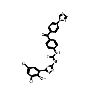 O=C(Nc1ccc(C(=O)c2ccc(-n3cncn3)cc2)cc1)Nc1nnc(-c2cc(Cl)cc(Cl)c2O)s1